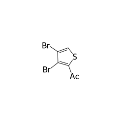 CC(=O)c1scc(Br)c1Br